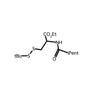 CCCC(C)C(=O)NC(CSSC(C)(C)C)C(=O)OCC